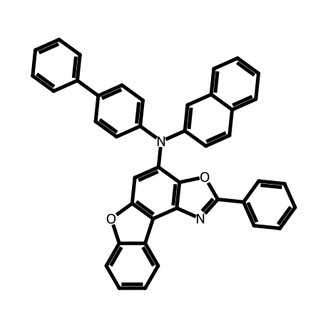 c1ccc(-c2ccc(N(c3ccc4ccccc4c3)c3cc4oc5ccccc5c4c4nc(-c5ccccc5)oc34)cc2)cc1